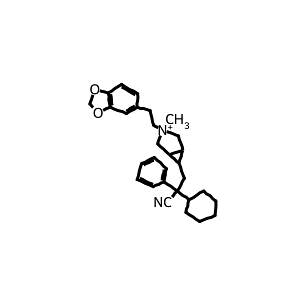 C[N+]1(CCc2ccc3c(c2)OCO3)CC2C(CC(C#N)(c3ccccc3)C3CCCCC3)C2C1